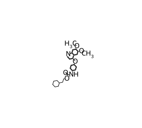 COc1cc2nccc(Oc3ccc(NC(=O)OCCC4CCCCC4)cc3)c2cc1OC